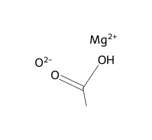 CC(=O)O.[Mg+2].[O-2]